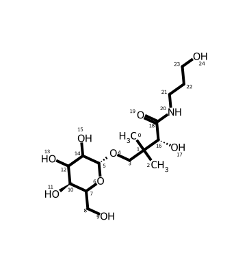 CC(C)(CO[C@@H]1OC(CO)[C@@H](O)C(O)C1O)[C@@H](O)C(=O)NCCCO